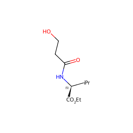 CCOC(=O)[C@@H](NC(=O)CCO)C(C)C